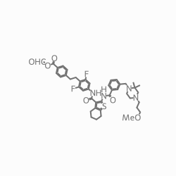 COCCCN1CCN(Cc2cccc(C(=O)Nc3sc4c(c3C(=O)Nc3cc(F)c(CCc5ccc(C(=O)OC=O)cc5)c(F)c3)CCCC4)c2)C(C)(C)C1